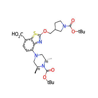 C[C@H]1CN(c2ccc(C(=O)O)c3sc(OCC4CCN(C(=O)OC(C)(C)C)C4)nc23)C[C@H](C)N1C(=O)OC(C)(C)C